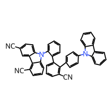 N#Cc1ccc2c(c1)c1c(C#N)cccc1n2-c1ccccc1-c1cccc(C#N)c1-c1ccc(-n2c3ccccc3c3ccccc32)cc1